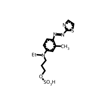 CCN(CCCOS(=O)(=O)O)c1ccc(N=Nc2nccs2)c(C)c1